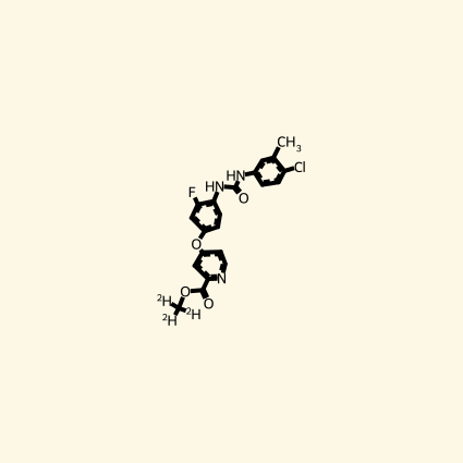 [2H]C([2H])([2H])OC(=O)c1cc(Oc2ccc(NC(=O)Nc3ccc(Cl)c(C)c3)c(F)c2)ccn1